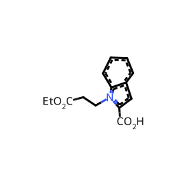 CCOC(=O)CCn1c(C(=O)O)cc2ccccc21